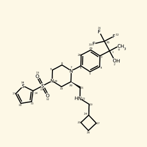 CC(O)(c1ccc(N2CCN(S(=O)(=O)c3cccs3)C[C@@H]2CNCC2CCC2)cc1)C(F)(F)F